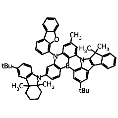 Cc1cc2c3c(c1)-n1c4c(c5cc(C(C)(C)C)cc(c51)B3c1ccc(N3c5ccc(C(C)(C)C)cc5C5(C)CCCCC35C)cc1N2c1cccc2c1oc1ccccc12)-c1ccccc1C4(C)C